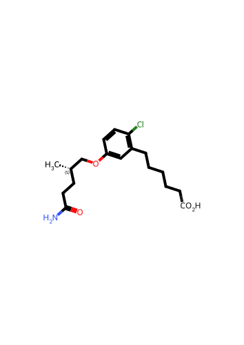 C[C@@H](CCC(N)=O)COc1ccc(Cl)c(CCCCCC(=O)O)c1